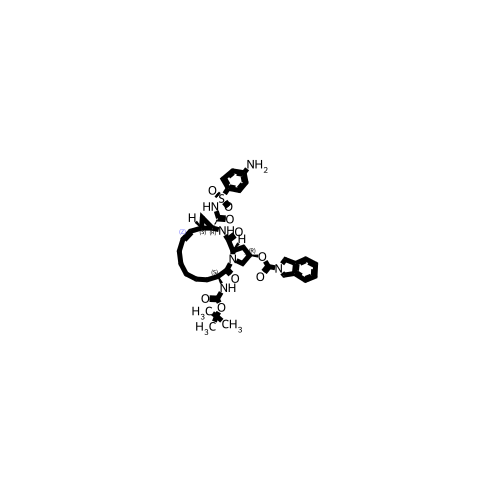 CC(C)(C)OC(=O)N[C@H]1CCCCC/C=C\[C@@H]2C[C@@]2(C(=O)NS(=O)(=O)c2ccc(N)cc2)NC(=O)[C@@H]2C[C@@H](OC(=O)N3Cc4ccccc4C3)CN2C1=O